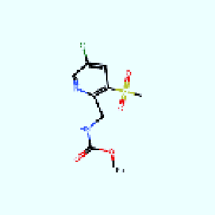 CC(C)(C)OC(=O)NCc1ncc(Cl)cc1S(C)(=O)=O